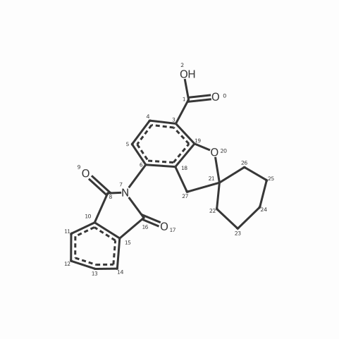 O=C(O)c1ccc(N2C(=O)c3ccccc3C2=O)c2c1OC1(CCCCC1)C2